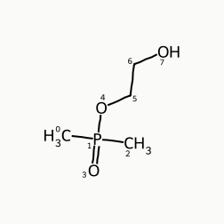 CP(C)(=O)OCCO